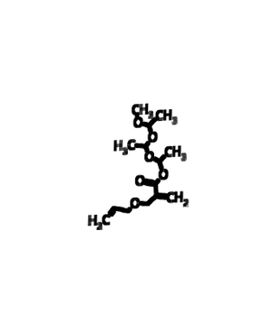 C=CCOCC(=C)C(=O)OC(C)OC(C)OC(C)OC